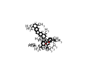 Cl.Cl.[CH2]=[Zr]([C]1=CC(C(C)(C)C)=CC1CC)([c]1ccc(C(C)(C)C)cc1)([c]1ccc(C(C)(C)C)cc1)[CH]1C=C(C)c2cc3c(cc2C1(C)C)Cc1cc2c(cc1-3)C(C)=CCC2(C)C